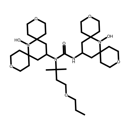 CCCOCCC(C)(C)N(C(=O)NC1CC2(CCOCC2)N(O)C2(CCOCC2)C1)C1CC2(CCOCC2)N(O)C2(CCOCC2)C1